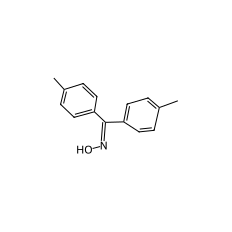 Cc1ccc(C(=NO)c2ccc(C)cc2)cc1